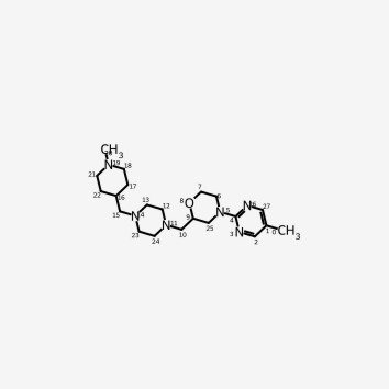 Cc1cnc(N2CCOC(CN3CCN(CC4CCN(C)CC4)CC3)C2)nc1